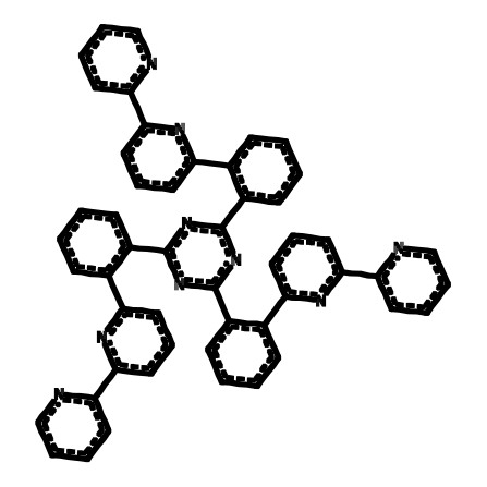 c1ccc(-c2cccc(-c3ccccc3-c3nc(-c4ccccc4-c4cccc(-c5ccccn5)n4)nc(-c4ccccc4-c4cccc(-c5ccccn5)n4)n3)n2)nc1